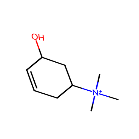 C[N+](C)(C)C1CC=CC(O)C1